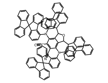 [C-]#[N+]c1c(C#N)c(N(c2ccc(-c3ccccc3)cc2)c2cccc3c2-c2ccccc2C32c3ccccc3-c3ccccc32)c2c(c1N(c1ccc(-c3ccccc3)cc1)c1cccc3c1-c1ccccc1C31c3ccccc3-c3ccccc31)C(C1c3ccccc3-c3ccccc31)OC2C1c2ccccc2-c2ccccc21